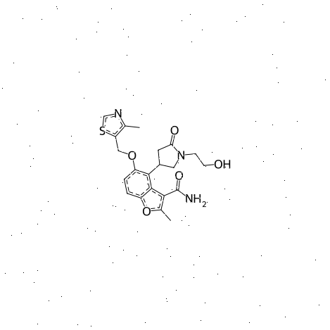 Cc1ncsc1COc1ccc2oc(C)c(C(N)=O)c2c1C1CC(=O)N(CCO)C1